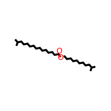 CC(C)CCCCCCCCCCCCC(=O)OCCCCCCCCCC(C)C